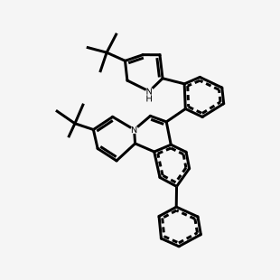 CC(C)(C)C1=CN2C=C(c3ccccc3C3=CC=C(C(C)(C)C)CN3)c3ccc(-c4ccccc4)cc3C2C=C1